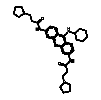 O=C(CCN1CCCC1)Nc1ccc2c(NC3CCCCC3)c3ccc(NC(=O)CCN4CCCC4)cc3nc2c1